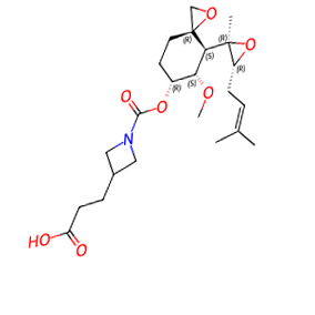 CO[C@@H]1[C@H](OC(=O)N2CC(CCC(=O)O)C2)CC[C@]2(CO2)[C@H]1[C@@]1(C)O[C@@H]1CC=C(C)C